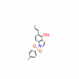 C/C=C/c1ccc2c(ccn2S(=O)(=O)c2ccc(C)cc2)c1O